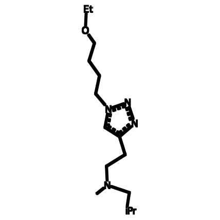 CCOCCCCn1cc(CCN(C)CC(C)C)nn1